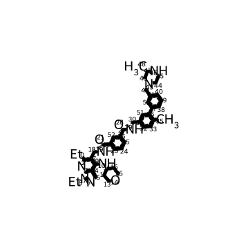 CCc1nc2c(cnn2CC)c(NC2CCOCC2)c1CNC(=O)c1cccc(C(=O)NCc2ccc(C)c(-c3cccc(CN4CCN[C@@H](C)C4)c3)c2)c1